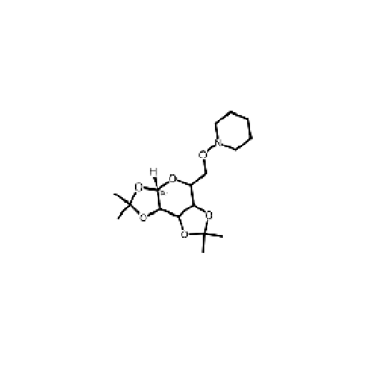 CC1(C)OC2C(CON3CCCCC3)O[C@H]3OC(C)(C)OC3C2O1